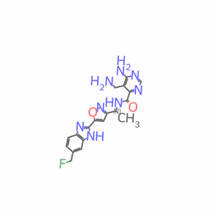 C[C@@H](NC(=O)c1ncnc(N)c1CN)c1cc(-c2nc3ccc(CF)cc3[nH]2)on1